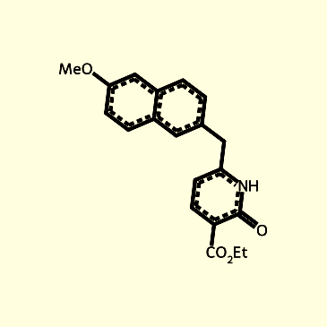 CCOC(=O)c1ccc(Cc2ccc3cc(OC)ccc3c2)[nH]c1=O